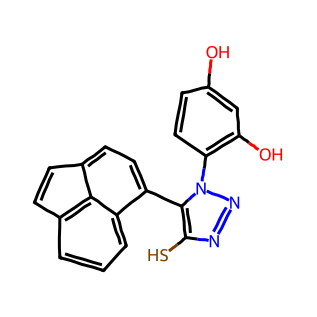 Oc1ccc(-n2nnc(S)c2-c2ccc3c4c(cccc24)C=C3)c(O)c1